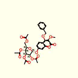 COc1c(OCc2ccccc2)c2ccc(O[C@H]3O[C@H](COC(C)=O)[C@@H](OC(C)=O)[C@H](OC(C)=O)[C@@H]3OC(C)=O)cc2oc1=O